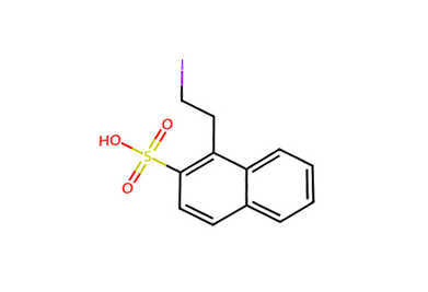 O=S(=O)(O)c1ccc2ccccc2c1CCI